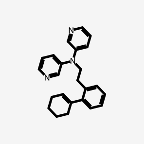 C1=C(c2ccccc2CCN(c2cccnc2)c2cccnc2)CCCC1